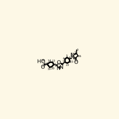 CC1=NN(c2ccc(-c3nnc(-c4ccc(C(=O)O)cc4)o3)cc2)C(=O)C1